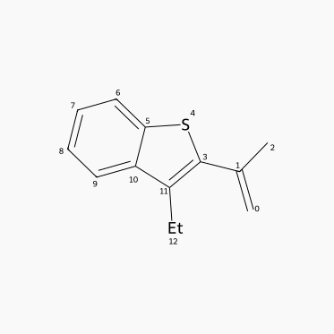 C=C(C)c1sc2ccccc2c1CC